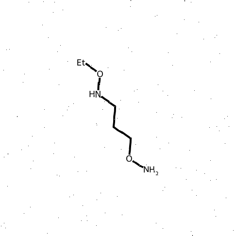 CCONCCCON